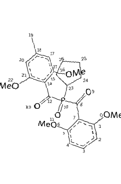 COc1cccc(OC)c1C(=O)P(=O)(C(=O)c1c(OC)cc(C)cc1OC)C1CCCC1